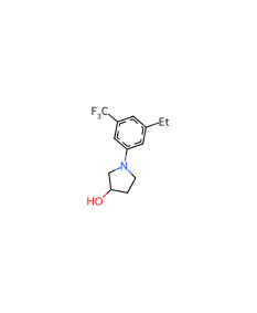 CCc1cc(N2CCC(O)C2)cc(C(F)(F)F)c1